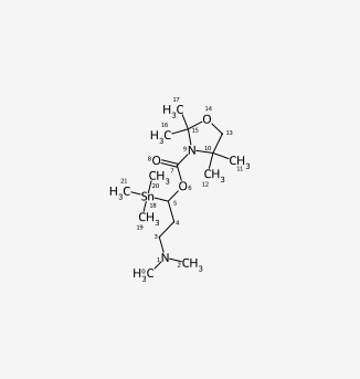 CN(C)CC[CH](OC(=O)N1C(C)(C)COC1(C)C)[Sn]([CH3])([CH3])[CH3]